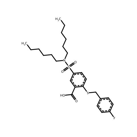 CCCCCCN(CCCCCC)S(=O)(=O)c1ccc(SCc2ccc(F)cc2)c(C(=O)O)c1